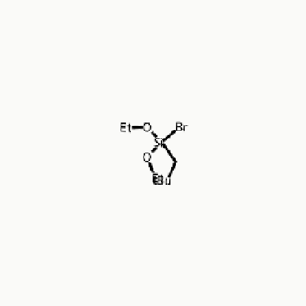 CCO[Si](Br)(CC(C)(C)C)OCC